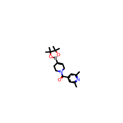 Cc1cc(C(=O)N2CC=C(B3OC(C)(C)C(C)(C)O3)CC2)cc(C)n1